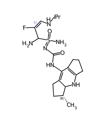 CC(C)N/C=C(/F)C(N)S(N)(=O)=NC(=O)NC1=C2CC[C@@H](C)C2NC2=C1CCC2